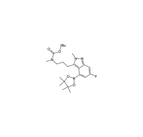 CN(CCCc1c2c(B3OC(C)(C)C(C)(C)O3)cc(F)cc2nn1C)C(=O)OC(C)(C)C